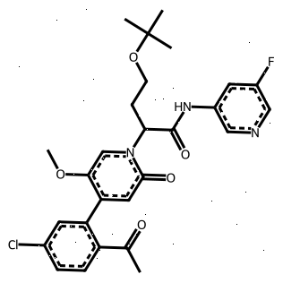 COc1cn(C(CCOC(C)(C)C)C(=O)Nc2cncc(F)c2)c(=O)cc1-c1cc(Cl)ccc1C(C)=O